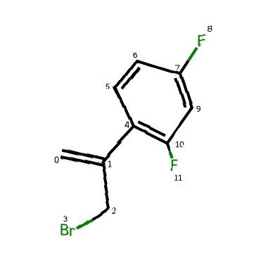 C=C(CBr)c1ccc(F)cc1F